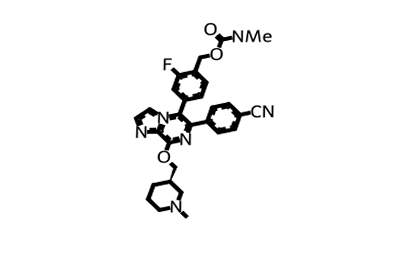 CNC(=O)OCc1ccc(-c2c(-c3ccc(C#N)cc3)nc(OC[C@@H]3CCCN(C)C3)c3nccn23)cc1F